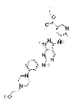 CCOC(=O)c1cnc(C)c(Nc2nn(C)c3nc(Nc4ccnc(N5CCN(CCO)CC5)c4)ncc23)c1